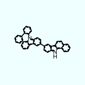 c1ccc(-c2ccccc2-n2c3ccccc3c3cc(-c4ccc5[nH]c6c7ccccc7ccc6c5c4)ccc32)cc1